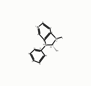 C[C@H]1N(C)c2ccncc2N1c1ccccc1